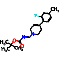 Cc1ccc(C2=CCN(C=NC(=O)OC(C)(C)C)CC2)c(F)c1